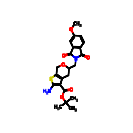 COc1ccc2c(c1)C(=O)N(CC1Cc3c(sc(N)c3C(=O)OC(C)(C)C)CO1)C2=O